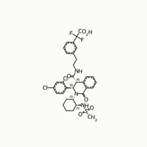 CS(=O)(=O)N[C@H]1CCCC[C@@H]1N1C(=O)c2ccccc2[C@@H](C(=O)NCCc2cccc(C(F)(F)C(=O)O)c2)[C@@H]1c1ccc(Cl)cc1Cl